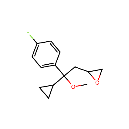 COC(CC1CO1)(c1ccc(F)cc1)C1CC1